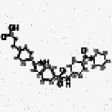 O=C(O)CCc1ccc(-c2cc3ccc(S(=O)(=O)NC4CCC(C(=O)N5CCCCC5)CC4)cc3[nH]2)cc1